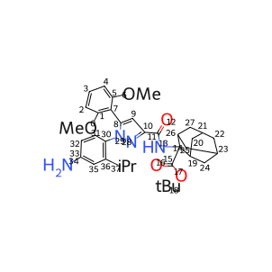 COc1cccc(OC)c1-c1cc(C(=O)NC2(C(=O)OC(C)(C)C)C3CC4CC(C3)CC2C4)nn1-c1ccc(N)cc1C(C)C